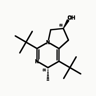 C[C@@H]1N=C(C(C)(C)C)N2C[C@@H](O)CC2=C1C(C)(C)C